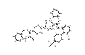 CC(C)(C)N1CCN(c2c(F)cccc2[C@@H]2S[C@@H](CC(=O)N3CCC(N4CCc5ccccc5NC4=O)CC3)C(=O)N2Cc2ccccc2)CC1